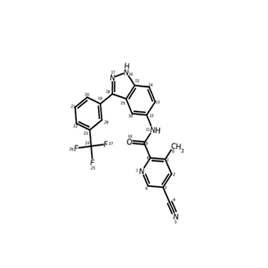 Cc1cc(C#N)cnc1C(=O)Nc1ccc2[nH]nc(-c3cccc(C(F)(F)F)c3)c2c1